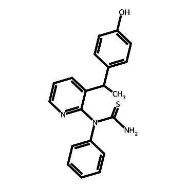 CC(c1ccc(O)cc1)c1cccnc1N(C(N)=S)c1ccccc1